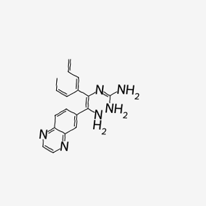 C=C/C=C(\C=C/C)C(/N=C(N)N)=C(/N)c1ccc2nccnc2c1